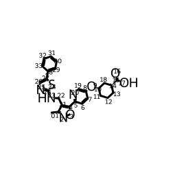 Cc1noc(-c2ccc(O[C@H]3CCC[C@H](C(=O)O)C3)cn2)c1CNc1ncc(-c2ccccc2)s1